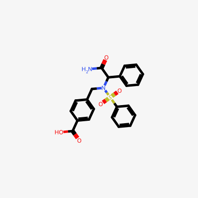 NC(=O)C(c1ccccc1)N(Cc1ccc(C(=O)O)cc1)S(=O)(=O)c1ccccc1